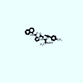 CN[C@@H](C)C(=O)N[C@@H](CC#Cc1ccc(C)cc1)C(=O)N1CCC[C@H]1C(=O)NC1CCCc2ccccc21